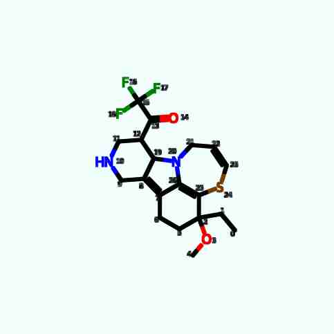 CCC1(OC)CCC2=C3CNCC(C(=O)C(F)(F)F)C3N3CC=CSC1=C23